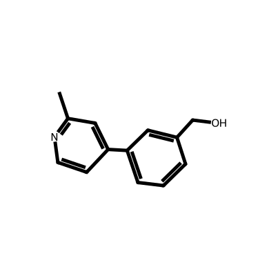 Cc1cc(-c2cccc(CO)c2)ccn1